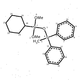 CO[Si](OC)(O[Si](C)(c1ccccc1)c1ccccc1)C1CCCCC1